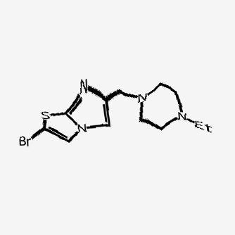 CCN1CCN(Cc2cn3cc(Br)sc3n2)CC1